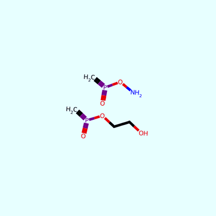 C=P(=O)OCCO.C=P(=O)ON